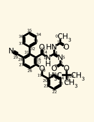 CC(=O)N/C(=N/C(=O)OC(C)(C)C)NC(=O)c1c(OCc2ccccc2)ccc(C#N)c1-c1ccccc1